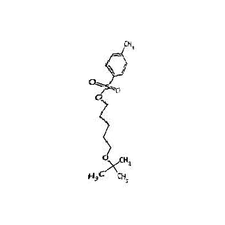 Cc1ccc(S(=O)(=O)OCCCCCOC(C)(C)C)cc1